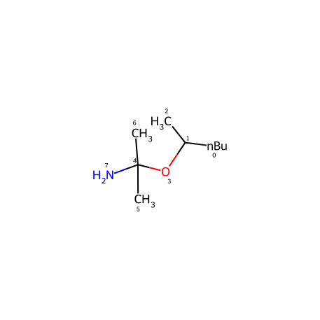 CCCCC(C)OC(C)(C)N